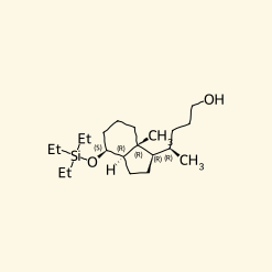 CC[Si](CC)(CC)O[C@H]1CCC[C@]2(C)[C@@H]([C@H](C)CCCO)CC[C@@H]12